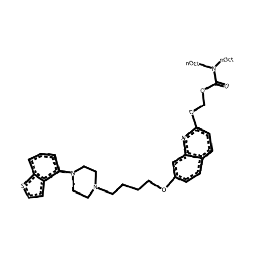 CCCCCCCCN(CCCCCCCC)C(=O)OCOc1ccc2ccc(OCCCCN3CCN(c4cccc5sccc45)CC3)cc2n1